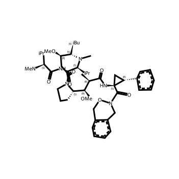 CC[C@H](C)[C@@H]([C@@H](CC(=O)N1CCC[C@H]1[C@H](OC)[C@@H](C)C(=O)N[C@@]1(C(=O)N2Cc3ccccc3CO2)C[C@@H]1c1ccccc1)OC)N(C)[C@H](C(=O)NC(=O)[C@@H](NC)C(C)C)C(C)C